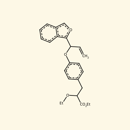 C=CC(Oc1ccc(CC(OCC)C(=O)OCC)cc1)c1occ2ccccc12